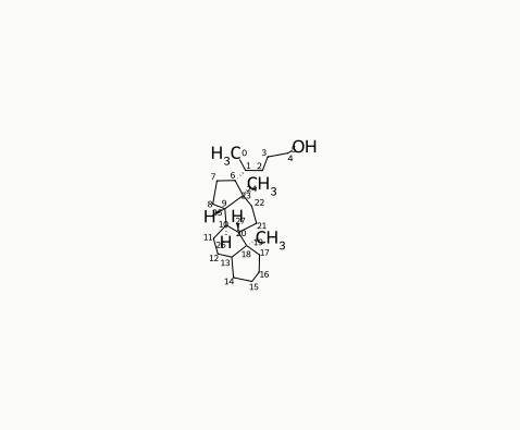 CC(CCCO)[C@H]1CC[C@H]2[C@@H]3CCC4CCCC[C@]4(C)[C@H]3CC[C@]12C